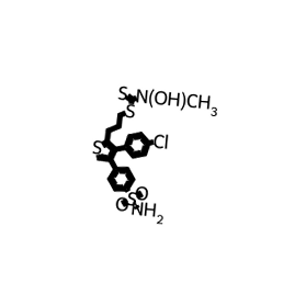 CN(O)C(=S)SCCCc1scc(-c2ccc(S(N)(=O)=O)cc2)c1-c1ccc(Cl)cc1